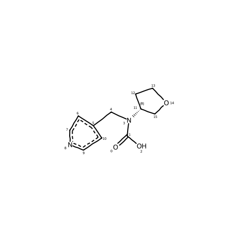 O=C(O)N(Cc1ccncc1)[C@@H]1CCOC1